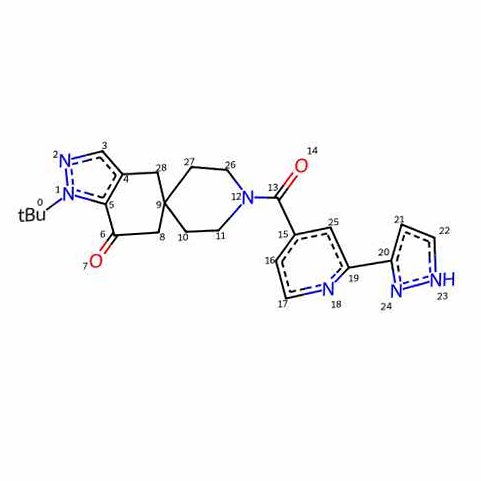 CC(C)(C)n1ncc2c1C(=O)CC1(CCN(C(=O)c3ccnc(-c4cc[nH]n4)c3)CC1)C2